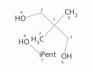 CC(C)(CO)CO.CCCC(C)O